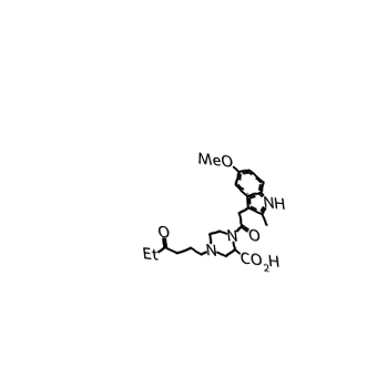 CCC(=O)CCCN1CCN(C(=O)Cc2c(C)[nH]c3ccc(OC)cc23)C(C(=O)O)C1